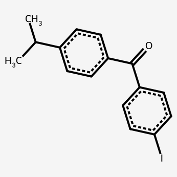 CC(C)c1ccc(C(=O)c2ccc(I)cc2)cc1